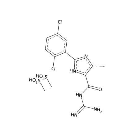 CS(=O)(=O)O.CS(=O)(=O)O.Cc1nc(-c2cc(Cl)ccc2Cl)[nH]c1C(=O)NC(=N)N